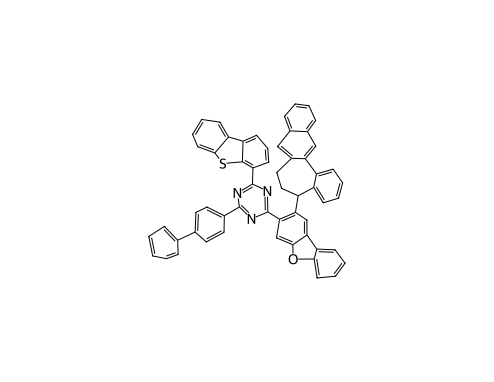 c1ccc(-c2ccc(-c3nc(-c4cc5oc6ccccc6c5cc4C4CCc5cc6ccccc6cc5-c5ccccc54)nc(-c4cccc5c4sc4ccccc45)n3)cc2)cc1